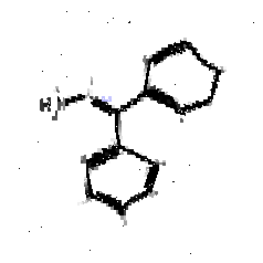 N/N=C(/C1=CCCC=C1)c1ccccc1